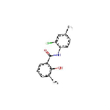 Cc1ccc(NC(=O)c2cccc(C)c2O)c(Cl)c1